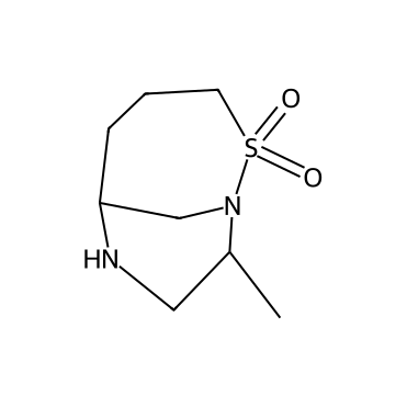 CC1CNC2CCCS(=O)(=O)N1C2